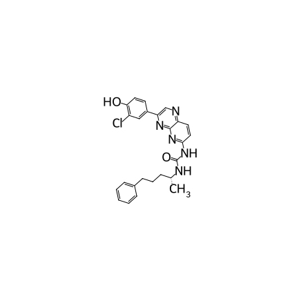 C[C@H](CCCc1ccccc1)NC(=O)Nc1ccc2ncc(-c3ccc(O)c(Cl)c3)nc2n1